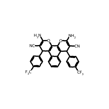 N#CC1=C(N)Oc2c3c(c4ccccc4c2C1c1ccc(C(F)(F)F)cc1)C(c1ccc(C(F)(F)F)cc1)C(C#N)=C(N)O3